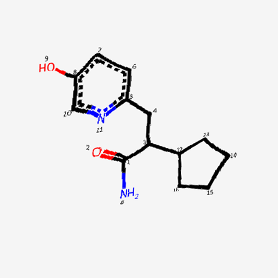 NC(=O)C(Cc1ccc(O)cn1)C1CCCC1